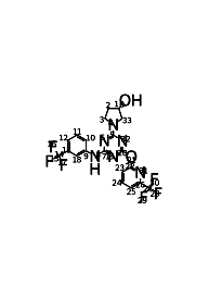 OC1CCN(c2nc(Nc3cccc(C(F)(F)F)c3)nc(Oc3cccc(C(F)(F)F)n3)n2)C1